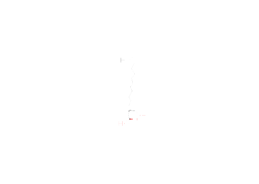 CCCCCCCCCCC[C@@H](CO)CC(=O)O